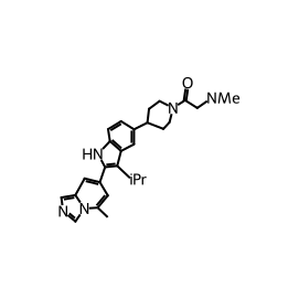 CNCC(=O)N1CCC(c2ccc3[nH]c(-c4cc(C)n5cncc5c4)c(C(C)C)c3c2)CC1